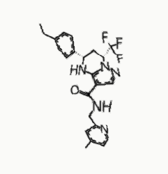 CCc1ccc([C@@H]2C[C@H](C(F)(F)F)n3ncc(C(=O)NCc4cc(C)ccn4)c3N2)cc1